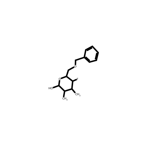 CC1C(O)OC(COCc2ccccc2)C(F)C1C